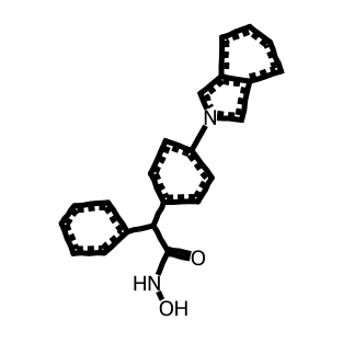 O=C(NO)C(c1ccccc1)c1ccc(-n2cc3ccccc3c2)cc1